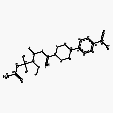 CCC(C(C)CC(=N)C1CCN(c2ccc([N+](=O)[O-])cc2)CC1)C(C)(C)OC(N)=O